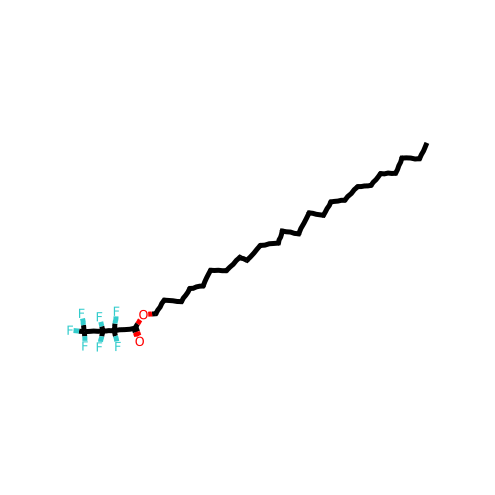 CCCCCCCCCCCCCCCCCCCCCCCCOC(=O)C(F)(F)C(F)(F)C(F)(F)F